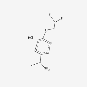 CC(N)c1ccc(OCC(F)F)nc1.Cl